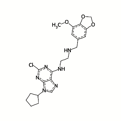 COc1cc(CNCCNc2nc(Cl)nc3c2ncn3C2CCCC2)cc2c1OCO2